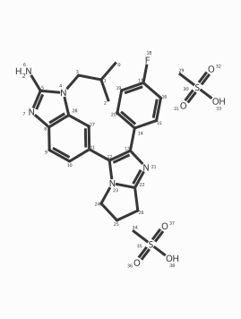 CC(C)Cn1c(N)nc2ccc(-c3c(-c4ccc(F)cc4)nc4n3CCC4)cc21.CS(=O)(=O)O.CS(=O)(=O)O